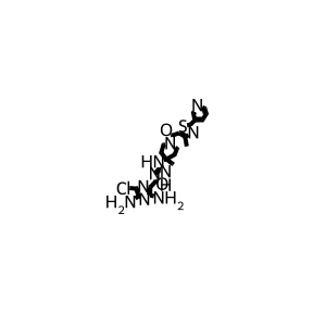 Cc1nc(-c2cccnc2)sc1C(=O)N1CCC2(CC1)CN/C(=N\C(=O)c1nc(Cl)c(N)nc1N)N2